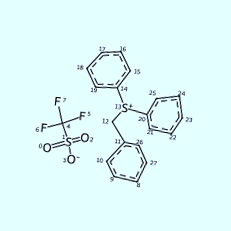 O=S(=O)([O-])C(F)(F)F.c1ccc(C[S+](c2ccccc2)c2ccccc2)cc1